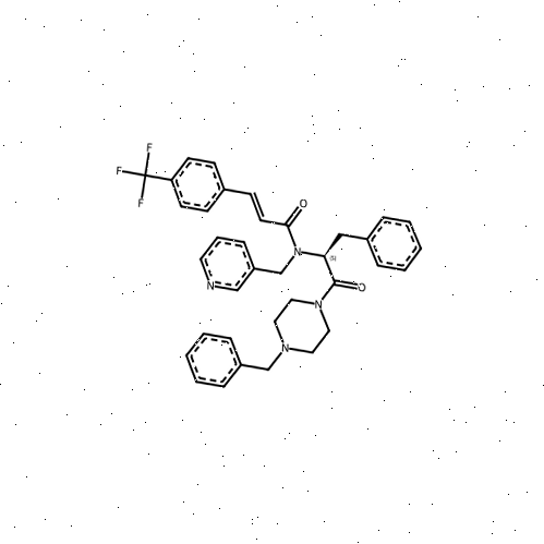 O=C([C@H](Cc1ccccc1)N(Cc1cccnc1)C(=O)C=Cc1ccc(C(F)(F)F)cc1)N1CCN(Cc2ccccc2)CC1